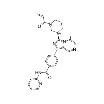 C=CC(=O)N1CCC[C@@H](c2nc(-c3ccc(C(=O)Nc4ccccn4)cc3)c3cncc(C)n23)C1